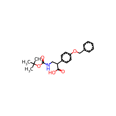 CC(C)(C)OC(=O)NCC(C(=O)O)c1ccc(OCc2ccccc2)cc1